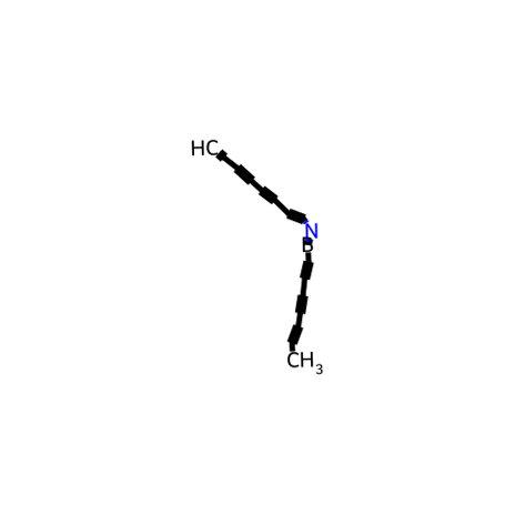 C#CC#CC#CC#C/N=B/C#CC#CC#CC